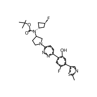 Cc1ncc(-c2cc(O)c(-c3ccc(N4CCC(N(C(=O)OC(C)(C)C)[C@H]5C[C@H](F)C5)C4)nn3)cc2F)s1